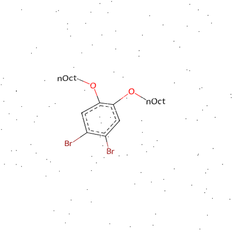 CCCCCCCCOc1cc(Br)c(Br)cc1OCCCCCCCC